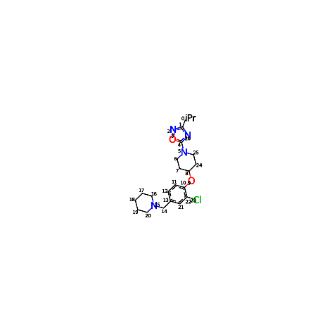 CC(C)c1noc(N2CCC(Oc3ccc(CN4CCCCC4)cc3Cl)CC2)n1